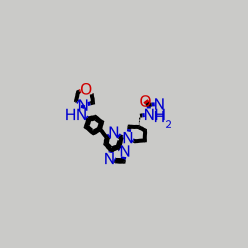 NC(=O)NC[C@@H]1CCCN(c2nc(-c3ccc(NN4CCOCC4)cc3)cc3nccnc23)C1